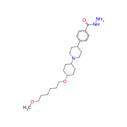 COCCCCCCOC1CCC(N2CCC(c3ccc(C(=O)NN)cc3)CC2)CC1